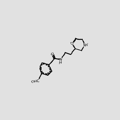 O=Cc1ccc(C(=O)NCCC2CNCCO2)cc1